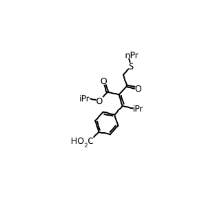 CCCSCC(=O)C(C(=O)OC(C)C)=C(c1ccc(C(=O)O)cc1)C(C)C